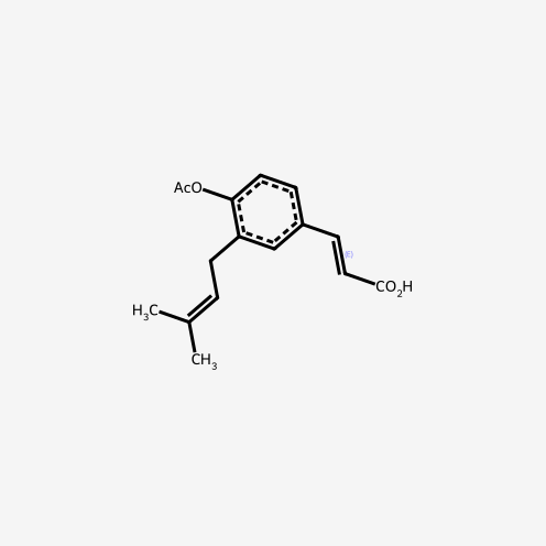 CC(=O)Oc1ccc(/C=C/C(=O)O)cc1CC=C(C)C